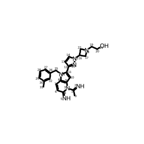 CC(=N)n1c(=N)ccc2c1cc(-c1ccn(C3CN(CCO)C3)n1)n2Cc1cccc(C)c1